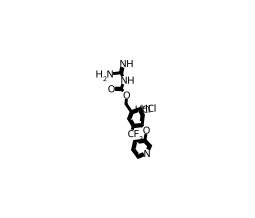 Cl.Cl.N=C(N)NC(=O)OCc1ccc(Oc2cccnc2)c(C(F)(F)F)c1